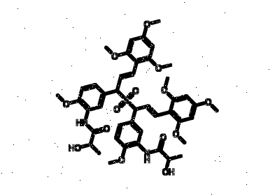 COc1cc(OC)c(C=CC(c2ccc(OC)c(NC(=O)C(C)O)c2)S(=O)(=O)C(C=Cc2c(OC)cc(OC)cc2OC)c2ccc(OC)c(NC(=O)C(C)O)c2)c(OC)c1